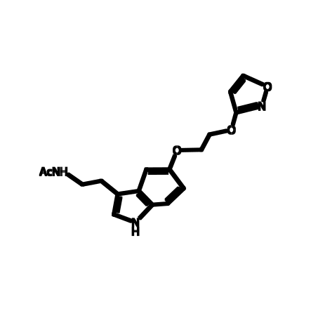 CC(=O)NCCc1c[nH]c2ccc(OCCOc3ccon3)cc12